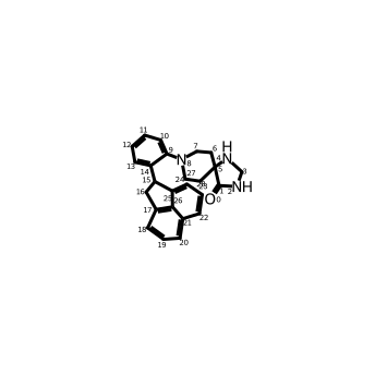 O=C1NCNC12CCN(c1ccccc1C1Cc3cccc4cccc1c34)CC2